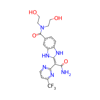 NC(=O)/C(=C1\Nc2ccc(C(=O)N(CCO)CCO)cc2N1)c1nccc(C(F)(F)F)n1